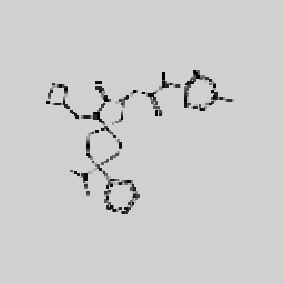 Cc1ccc(NC(=O)CN2C[C@]3(CC[C@@](c4ccccc4)(N(C)C)CC3)N(CC3CCC3)C2=O)nc1